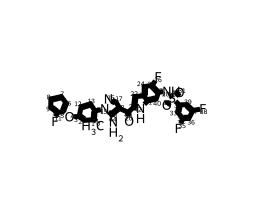 Cc1cc(Oc2ccccc2F)ccc1-n1ncc(C(=O)c2cc3cc(F)c(NS(=O)(=O)c4cc(F)cc(F)c4)cc3[nH]2)c1N